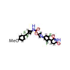 COc1ccc(C(F)(F)C23CC(NC(=O)OC4CN(c5cc(F)c(C6CCC(=O)NC6=O)c(F)c5)C4)(C2)C3)cc1